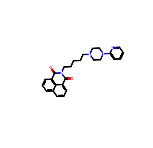 O=C1c2cccc3cccc(c23)C(=O)N1CCCCCN1CCN(c2ccccn2)CC1